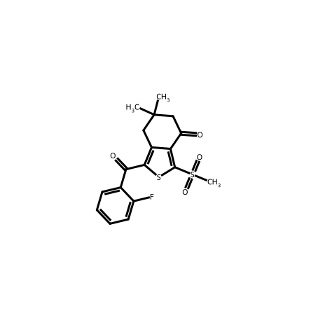 CC1(C)CC(=O)c2c(S(C)(=O)=O)sc(C(=O)c3ccccc3F)c2C1